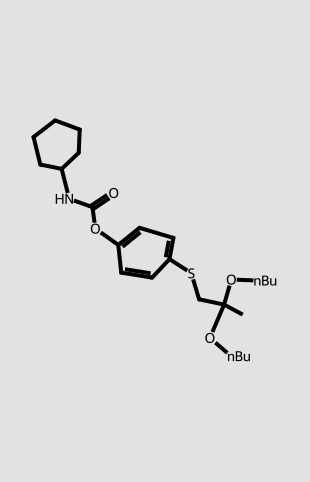 CCCCOC(C)(CSc1ccc(OC(=O)NC2CCCCC2)cc1)OCCCC